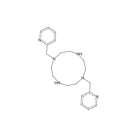 c1ccc(CN2CCNCCN(Cc3ccccn3)CCNCC2)nc1